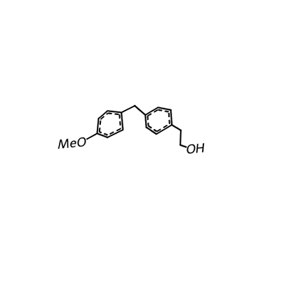 COc1ccc(Cc2ccc(CCO)cc2)cc1